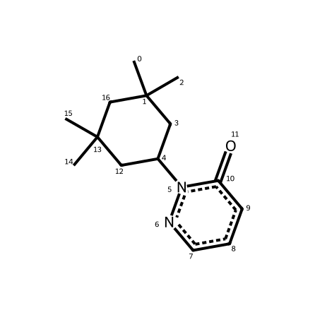 CC1(C)CC(n2ncccc2=O)CC(C)(C)C1